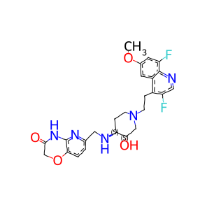 COc1cc(F)c2ncc(F)c(CCN3CC[C@H](NCc4ccc5c(n4)NC(=O)CO5)[C@@H](O)C3)c2c1